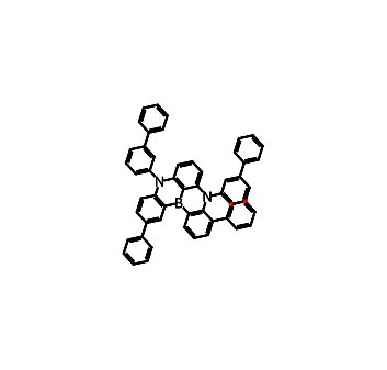 c1ccc(-c2cccc(N3c4ccc(-c5ccccc5)cc4B4c5cccc(-c6ccccc6)c5N(c5cccc(-c6ccccc6)c5)c5cccc3c54)c2)cc1